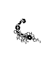 COc1cc(C)c(S(=O)(=O)N(C)Cc2nnc(C(=O)N3CCN(CCCN4CCCC4)CC3)s2)c(C)c1